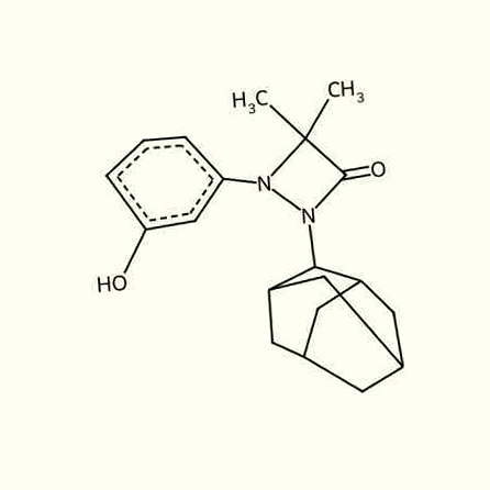 CC1(C)C(=O)N(C2C3CC4CC(C3)CC2C4)N1c1cccc(O)c1